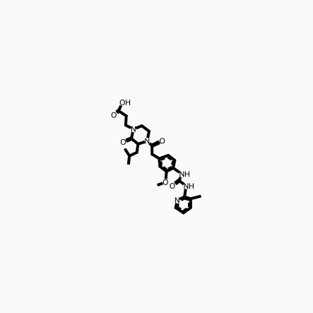 COc1cc(CC(=O)N2CCN(CCC(=O)O)C(=O)C2CC(C)C)ccc1NC(=O)Nc1ncccc1C